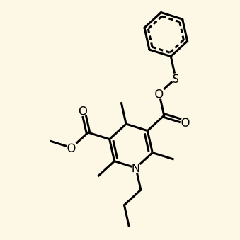 CCCN1C(C)=C(C(=O)OC)C(C)C(C(=O)OSc2ccccc2)=C1C